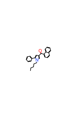 CCCCCn1cc(C(=O)c2cccc3ccccc23)cc1-c1ccccc1